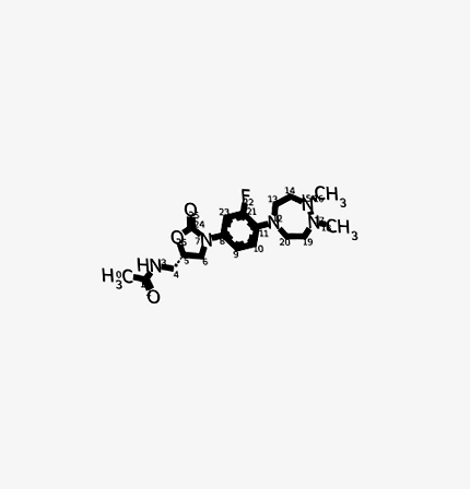 CC(=O)NC[C@H]1CN(c2ccc(N3CCN(C)N(C)CC3)c(F)c2)C(=O)O1